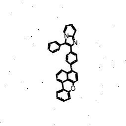 c1ccc(-c2c(-c3ccc(-c4ccc5c6c(cccc46)-c4ccccc4O5)cc3)nc3ccccn23)cc1